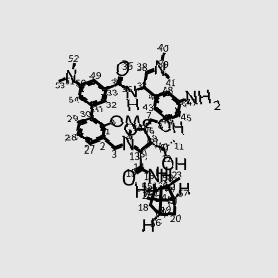 COc1c(CN2O[C@@H](CO)[C@@H]([C@H](C)O)[C@H]2C(=O)N[C@H]2C[C@H]3C[C@@H]([C@@H]2C)C3(C)C)cccc1-c1cc(C(=O)NC(CN(C)C)c2cccc(N)c2)cc(N(C)C)c1